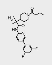 CCCC(=O)N1CCC(C(C)(N)C(=O)Nc2ccc(-c3cc(F)cc(F)c3)cn2)CC1